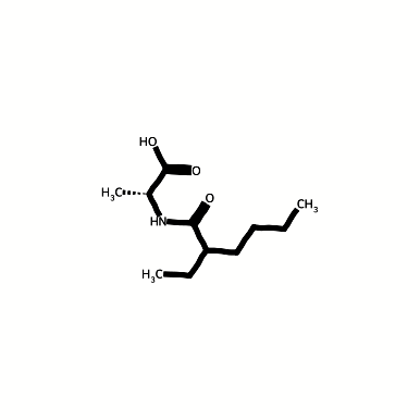 CCCCC(CC)C(=O)N[C@H](C)C(=O)O